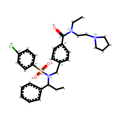 CCC(c1ccccc1)N(Cc1ccc(C(=O)N(CC)CCN2CCCC2)cc1)S(=O)(=O)c1ccc(Cl)cc1